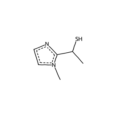 CC(S)c1nccn1C